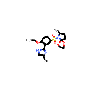 CCOc1ccc(S(=O)(=O)N2C(C)CCC23OCCO3)cc1-c1nc(C)c[nH]1